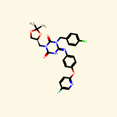 CC1(C)OC[C@H](Cn2c(=O)[nH]/c(=N\c3ccc(Oc4ccc(F)cn4)cc3)n(Cc3ccc(Cl)cc3)c2=O)O1